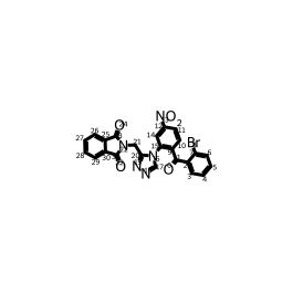 O=C(c1ccccc1Br)c1ccc([N+](=O)[O-])cc1-n1cnnc1CN1C(=O)c2ccccc2C1=O